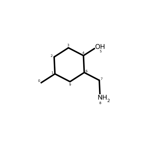 CC1CCC(O)C(CN)C1